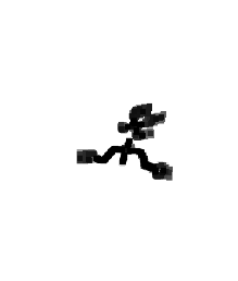 C[N+](C)(CCO)CCO.[O-][Si](O)(O)O